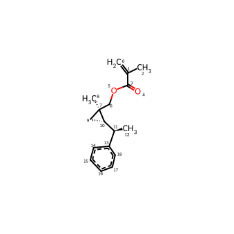 C=C(C)C(=O)OC[C@]1(C)C[C@H]1[C@@H](C)c1ccccc1